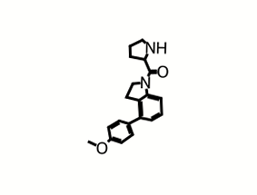 COc1ccc(-c2cccc3c2CCN3C(=O)C2CCCN2)cc1